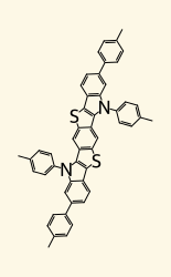 Cc1ccc(-c2ccc3c4sc5cc6c(cc5c4n(-c4ccc(C)cc4)c3c2)sc2c3ccc(-c4ccc(C)cc4)cc3n(-c3ccc(C)cc3)c62)cc1